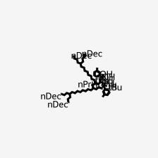 CCCCCCCCCCCCCC(CCCCCCCCCCCCC)CCCCCCCCC(CCCP(O)(O)(O)c1cc(C)ccc1C(C)(C)C)C(CCC)C(CCCCCCCCC(CCCCCCCCCCCCC)CCCCCCCCCCCCC)CCCP(O)(O)(O)c1cc(C)ccc1C(C)(C)C